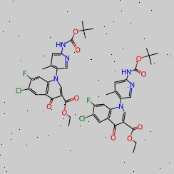 CCOC(=O)c1cn(-c2cnc(NC(=O)OC(C)(C)C)cc2C)c2cc(F)c(Cl)cc2c1=O.CCOC(=O)c1cn(-c2cnc(NC(=O)OC(C)(C)C)cc2C)c2cc(F)c(Cl)cc2c1=O